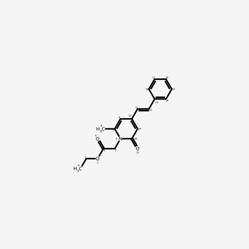 CCOC(=O)Cn1c(C)cc(C=Cc2ccccc2)cc1=O